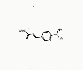 C=C(/C=C/c1ccc(N(CCC)CCC)nc1)OC